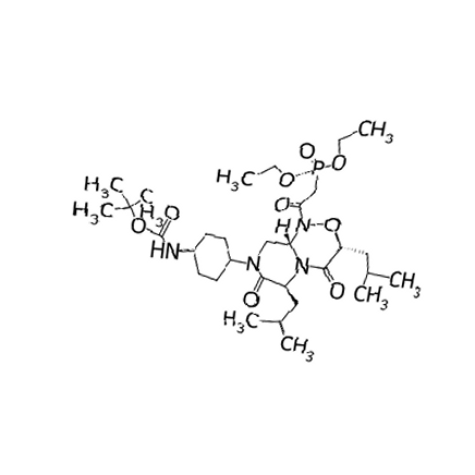 CCOP(=O)(CC(=O)N1O[C@H](CC(C)C)C(=O)N2[C@@H]1CN(C1CCC(NC(=O)OC(C)(C)C)CC1)C(=O)[C@@H]2CC(C)C)OCC